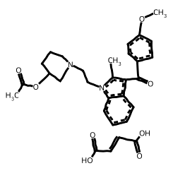 COc1ccc(C(=O)c2c(C)n(CCN3CCCC(OC(C)=O)C3)c3ccccc23)cc1.O=C(O)C=CC(=O)O